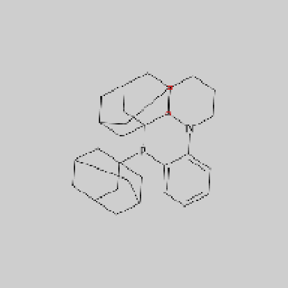 c1ccc(P(C23CC4CC(CC(C4)C2)C3)C23CC4CC(CC(C4)C2)C3)c(N2CCCCC2)c1